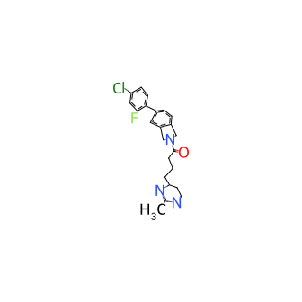 CC1=NC(CCCC(=O)N2Cc3ccc(-c4ccc(Cl)cc4F)cc3C2)CC=N1